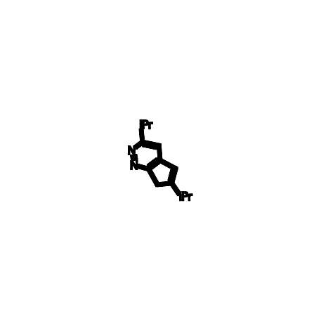 CC(C)C1=Cc2cc(C(C)C)nnc2C1